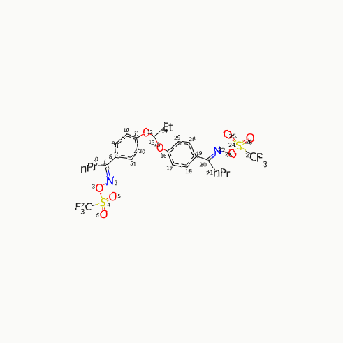 CCCC(=NOS(=O)(=O)C(F)(F)F)c1ccc(OC(CC)Oc2ccc(C(CCC)=NOS(=O)(=O)C(F)(F)F)cc2)cc1